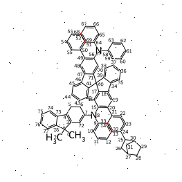 CC1(C)C2=C(CCC(N(c3ccccc3)c3cc4c(cc3C3=C=C=C(C5CC6CCC5C6)C=C3)-c3ccccc3C43c4ccccc4-c4cc(-c5ccccc5)c(N(c5ccccc5)c5ccccc5)cc43)=C2)c2ccccc21